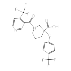 O=C(c1cnccc1C(F)(F)F)N1CCCC(Oc2ccc(C(F)(F)F)cc2)(C(=O)O)C1